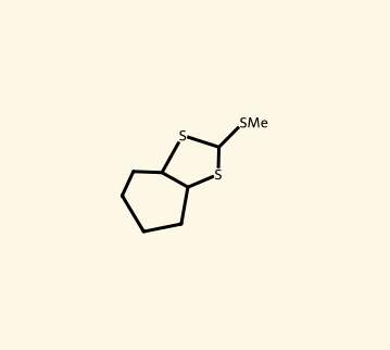 CSC1SC2CCCCC2S1